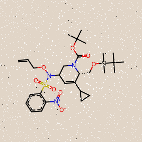 C=CCON(C1C=C(C2CC2)[C@@H](CO[Si](C)(C)C(C)(C)C)N(C(=O)OC(C)(C)C)C1)S(=O)(=O)c1ccccc1[N+](=O)[O-]